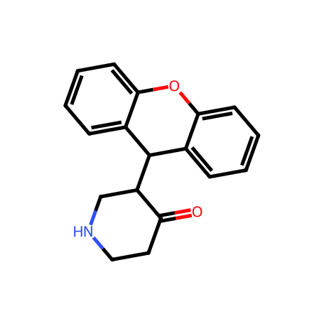 O=C1CCNCC1C1c2ccccc2Oc2ccccc21